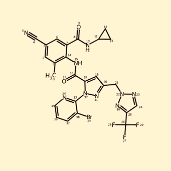 Cc1cc(C#N)cc(C(=O)NC2CC2)c1NC(=O)c1cc(Cn2ncc(C(F)(F)F)n2)nn1-c1ncccc1Br